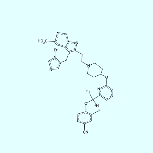 [2H]C([2H])(Oc1ccc(C#N)cc1F)c1cccc(OC2CCN(CCc3nc4ccc(C(=O)O)cc4n3Cc3cncn3CC)CC2)n1